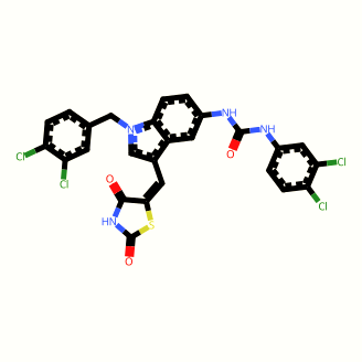 O=C(Nc1ccc(Cl)c(Cl)c1)Nc1ccc2c(c1)c(C=C1SC(=O)NC1=O)cn2Cc1ccc(Cl)c(Cl)c1